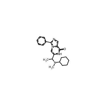 CC(c1cn2c(-c3ccccc3)ncc2c(=O)[nH]1)N(C)C1CCCCC1